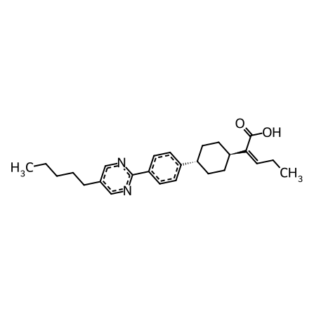 CCC=C(C(=O)O)[C@H]1CC[C@H](c2ccc(-c3ncc(CCCCC)cn3)cc2)CC1